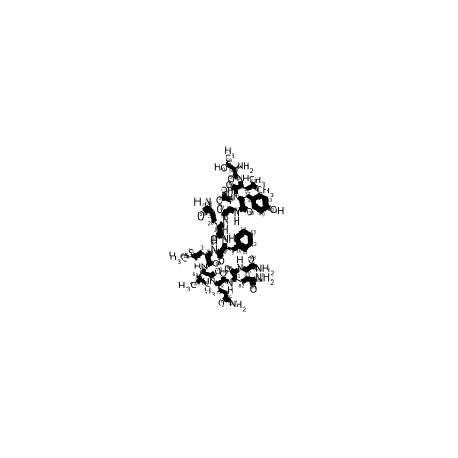 CSCC[C@H](NC(=O)[C@H](Cc1ccccc1)NC(=O)[C@H](CCC(N)=O)NC(=O)[C@H](CC(=O)O)NC(=O)[C@H](Cc1ccc(O)cc1)NC(=O)[C@H](CC(C)C)NC(=O)[C@@H](N)[C@@H](C)O)C(=O)N[C@@H](CC(C)C)C(=O)N[C@@H](CCC(N)=O)C(=O)N[C@@H](CCC(N)=O)C(=O)NCC(N)=O